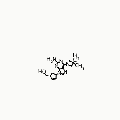 CC1(C)CN(c2nc(N)nc3c2ncn3[C@H]2C=C[C@@H](CO)C2)C1